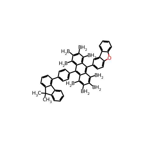 Bc1c(B)c(B)c2c(-c3ccc4oc5ccccc5c4c3)c3c(B)c(B)c(B)c(B)c3c(-c3ccc(-c4cccc5c4-c4ccccc4C5(C)C)cc3)c2c1B